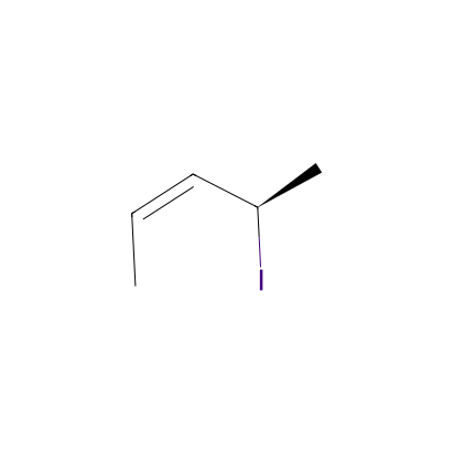 C/C=C\[C@@H](C)I